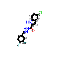 O=C(N/N=C/c1ccc(F)c(F)c1)c1cc2cc(Cl)ccc2[nH]1